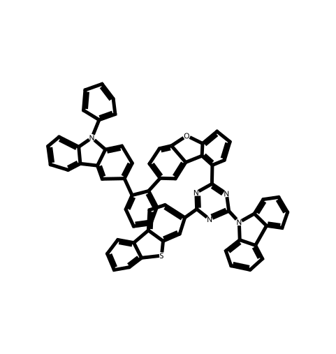 c1ccc(-n2c3ccccc3c3cc(-c4ccccc4-c4ccc5oc6cccc(-c7nc(-c8ccc9c(c8)sc8ccccc89)nc(-n8c9ccccc9c9ccccc98)n7)c6c5c4)ccc32)cc1